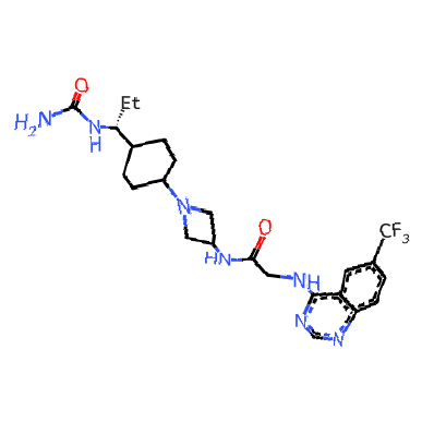 CC[C@@H](NC(N)=O)C1CCC(N2CC(NC(=O)CNc3ncnc4ccc(C(F)(F)F)cc34)C2)CC1